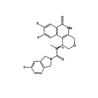 CN(C(=O)N1Cc2ccc(F)cc2C1)[C@@H]1COCc2[nH]c(=O)c3cc(F)c(F)cc3c21